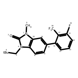 Cn1c(=O)n(CC(C)(C)C)c2ccc(-c3cccc(F)c3C(F)(F)F)cc21